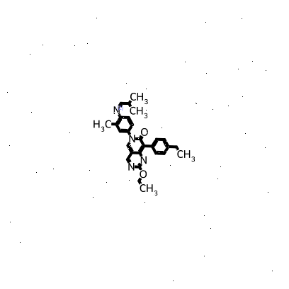 CCOc1ncc2cn(-c3ccc(/N=C\C(C)C)c(C)c3)c(=O)c(-c3ccc(CC)cc3)c2n1